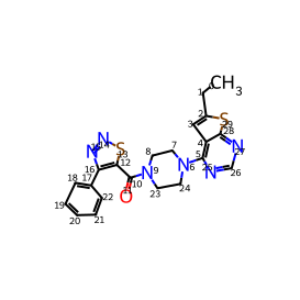 CCc1cc2c(N3CCN(C(=O)c4snnc4-c4ccccc4)CC3)ncnc2s1